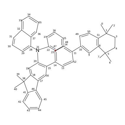 CC1(C)CCC(C)(C)c2cc(-c3ccc(-c4cc5c(cc4N(c4ccccc4)c4cccc6ccccc46)C(C)(C)c4ccccc4-5)cc3)ccc21